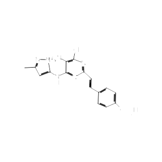 Cc1cc(Nc2nc(C=Cc3ccc(C(=O)O)cc3)nc(Cl)c2[N+](=O)[O-])[nH]n1